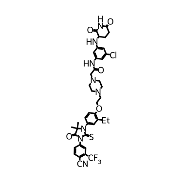 CCc1cc(N2C(=S)N(c3ccc(C#N)c(C(F)(F)F)c3)C(=O)C2(C)C)ccc1OCCN1CCN(CC(=O)Nc2cc(Cl)cc(NC3CCC(=O)NC3=O)c2)CC1